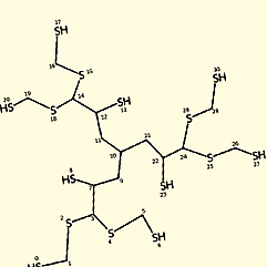 SCSC(SCS)C(S)CC(CC(S)C(SCS)SCS)CC(S)C(SCS)SCS